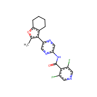 Cc1oc2c(c1-c1cnc(NC(=O)c3c(F)cncc3F)cn1)CCCC2